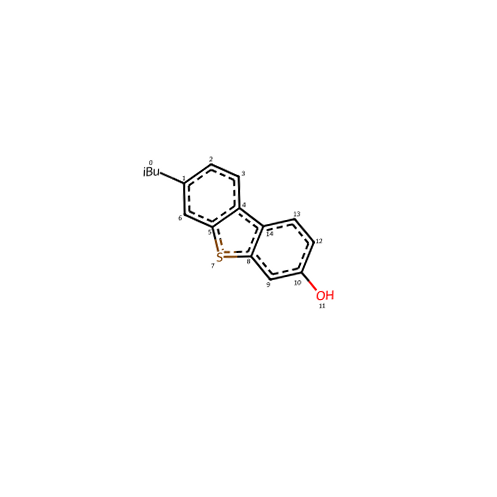 CCC(C)c1ccc2c(c1)sc1cc(O)ccc12